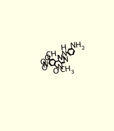 COc1cc2c(cc1[N+](=O)[O-])c(=O)n(C)c1cnc(Nc3cccc(N)c3)nc21